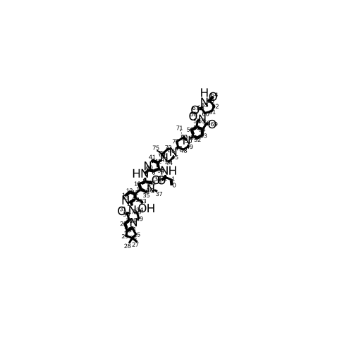 C=CC(=O)Nc1cc(Nc2cc(-c3ccnc(N4CCn5c(cc6c5CC(C)(C)C6)C4=O)c3CO)cn(C)c2=O)ncc1N1CCN(C2CCN(c3ccc4c(c3)C(=O)N(C3CCC(=O)NC3=O)C4=O)[C@@H](C)C2)C[C@@H]1C